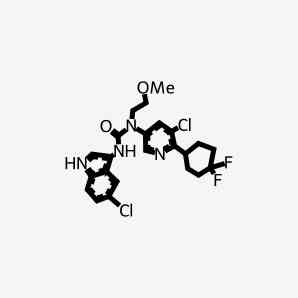 COCCN(C(=O)Nc1c[nH]c2ccc(Cl)cc12)c1cnc(C2CCC(F)(F)CC2)c(Cl)c1